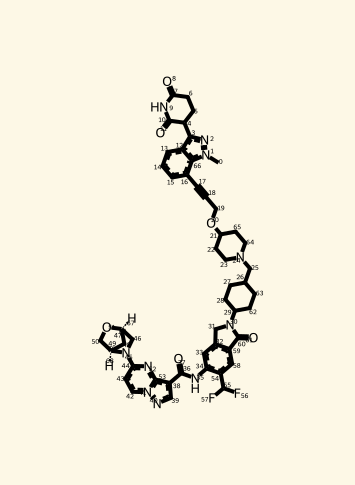 Cn1nc(C2CCC(=O)NC2=O)c2cccc(C#CCOC3CCN(CC4CCC(N5Cc6cc(NC(=O)c7cnn8ccc(N9C[C@H]%10C[C@@H]9CO%10)nc78)c(C(F)F)cc6C5=O)CC4)CC3)c21